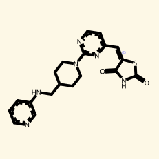 O=C1NC(=O)/C(=C\c2ccnc(N3CCC(CNc4cccnc4)CC3)n2)S1